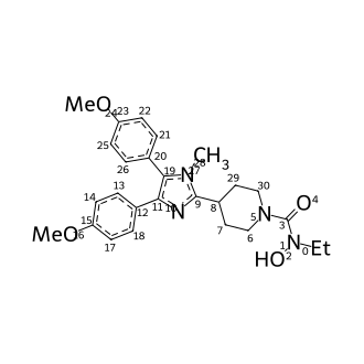 CCN(O)C(=O)N1CCC(c2nc(-c3ccc(OC)cc3)c(-c3ccc(OC)cc3)n2C)CC1